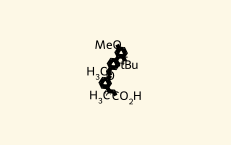 COc1ccc(F)c(-c2ccc([C@@H](C)Oc3cccc([C@@H](C)CC(=O)O)c3)cc2C(C)(C)C)c1